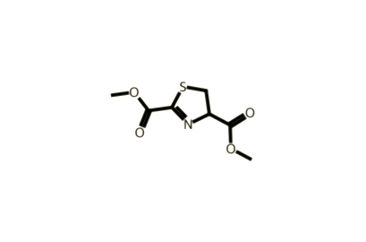 COC(=O)C1=NC(C(=O)OC)CS1